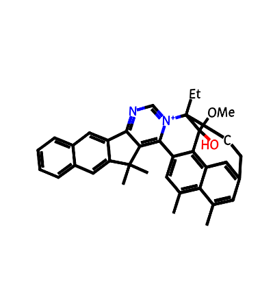 CCC12CCc3cc(C)c4c(C)cc(c(c4c3)C1(O)OC)-c1c3c(nc[n+]12)-c1cc2ccccc2cc1C3(C)C